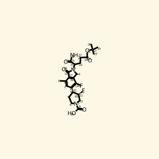 Cc1cc([C@@H]2CCN(C(=O)O)C[C@@H]2F)c(F)c2c1C(=O)N(C(CCC(=O)OC(C)(C)C)C(N)=O)C2